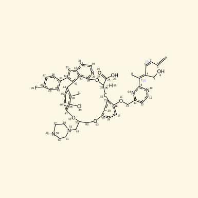 C=C/C=C\C(CO)=C(/C)c1nccc(COc2ccc3cc2C[C@H](C(=O)O)Oc2ncnc4sc(-c5ccc(F)cc5)c(c24)-c2ccc(c(Cl)c2C)OC(CN2CCN(C)CC2)CO3)n1